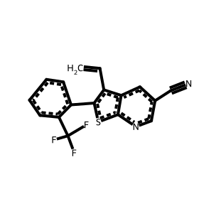 C=Cc1c(-c2ccccc2C(F)(F)F)sc2ncc(C#N)cc12